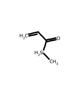 C=CC(=O)[SiH2]C